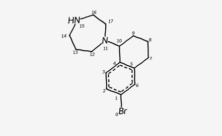 Brc1ccc2c(c1)CCCC2N1CCCNCC1